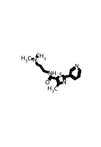 Cc1nc(-c2cccnc2)sc1C(=O)NCCCN(C)C